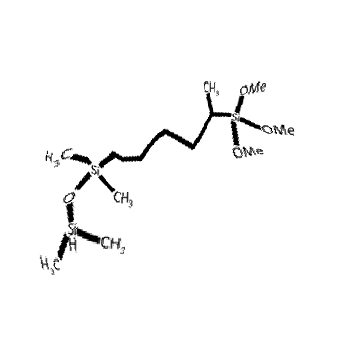 CO[Si](OC)(OC)C(C)CCCC[Si](C)(C)O[SiH](C)C